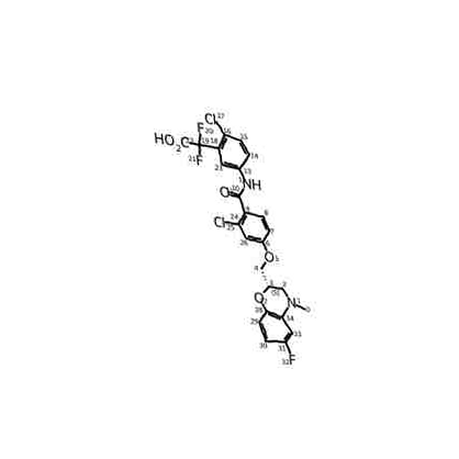 CN1C[C@@H](COc2ccc(C(=O)Nc3ccc(Cl)c(C(F)(F)C(=O)O)c3)c(Cl)c2)Oc2ccc(F)cc21